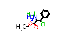 CCOC(=O)C(N)C(Cl)c1ccccc1.Cl